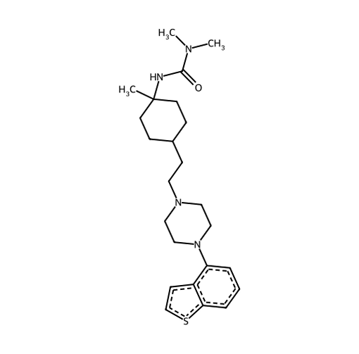 CN(C)C(=O)NC1(C)CCC(CCN2CCN(c3cccc4sccc34)CC2)CC1